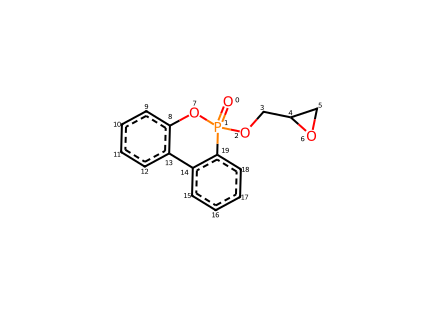 O=P1(OCC2CO2)Oc2ccccc2-c2ccccc21